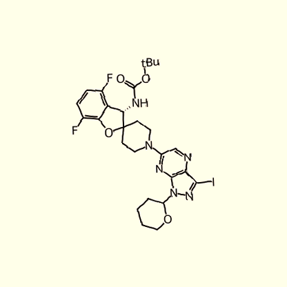 CC(C)(C)OC(=O)N[C@H]1c2c(F)ccc(F)c2OC12CCN(c1cnc3c(I)nn(C4CCCCO4)c3n1)CC2